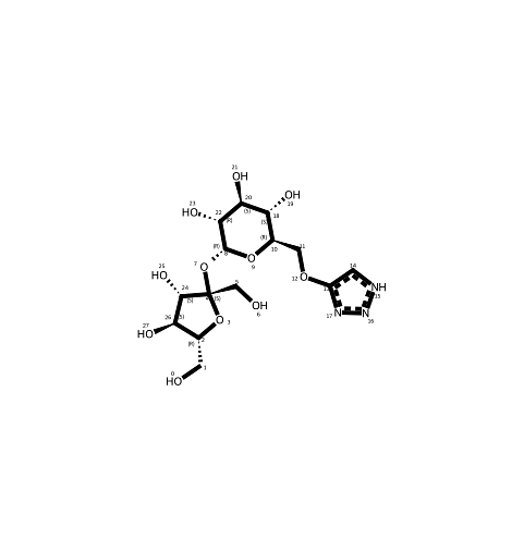 OC[C@H]1O[C@@](CO)(O[C@H]2O[C@H](COc3c[nH]nn3)[C@@H](O)[C@H](O)[C@H]2O)[C@@H](O)[C@@H]1O